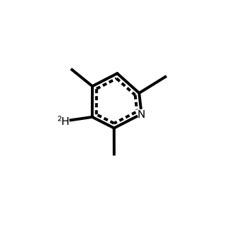 [2H]c1c(C)cc(C)nc1C